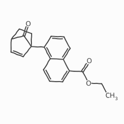 CCOC(=O)c1cccc2c(C34C=CC(CC3)C4=O)cccc12